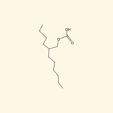 CCCCCCC(CCCC)COC(=O)O